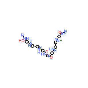 CN(C)CCNC(=O)c1ccc(-c2nc3ccc(-c4ccc5nc(-c6ccc(C(=O)N7CC[C@H](NC(=O)c8ccc(-c9nc%10ccc(-c%11ccc%12nc(-c%13ccc(C(O)NCCN(C)C)cc%13)[nH]c%12c%11)cc%10[nH]9)cc8)C7)cc6)[nH]c5c4)cc3[nH]2)cc1